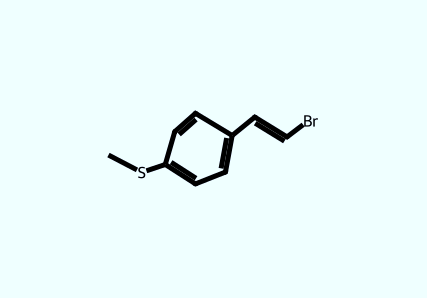 CSc1ccc(C=CBr)cc1